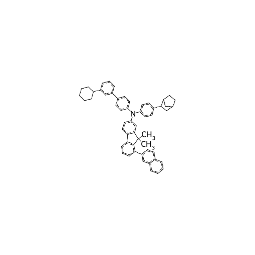 CC1(C)c2cc(N(c3ccc(-c4cccc(C5CCCCC5)c4)cc3)c3ccc(C4CC5CCC4C5)cc3)ccc2-c2cccc(-c3ccc4ccccc4c3)c21